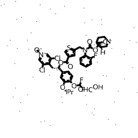 CC(C)Oc1cc([C@H](Cc2c(Cl)c[n+]([O-])cc2Cl)OC(=O)c2csc(CN(C(=O)O[C@H]3CN4CCC3CC4)c3ccccc3F)c2)ccc1OC(F)F.O=CO